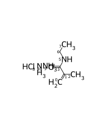 C=C(C)C(=O)NCC.Cl.N.N